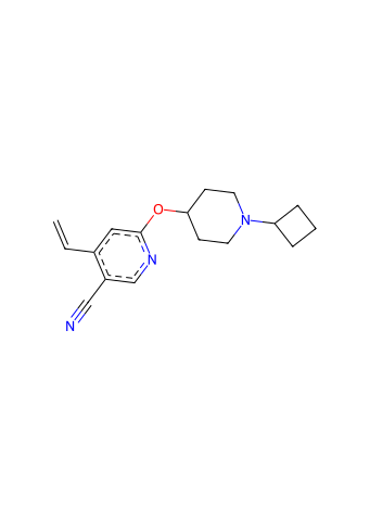 C=Cc1cc(OC2CCN(C3CCC3)CC2)ncc1C#N